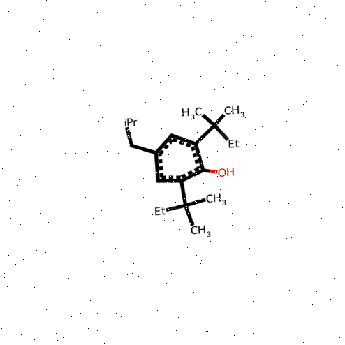 CCC(C)(C)c1cc(CC(C)C)cc(C(C)(C)CC)c1O